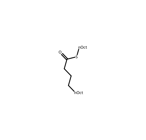 CCCCCCCCCCCC(=O)SCCCCCCCC